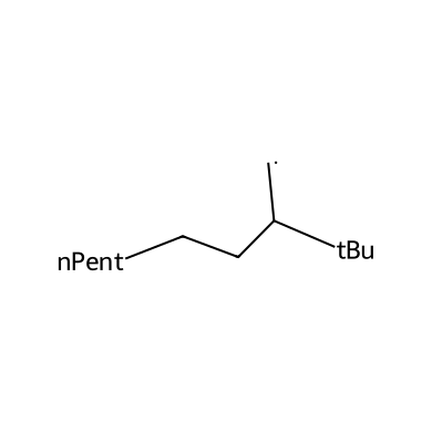 [CH2]C(CCCCCCC)C(C)(C)C